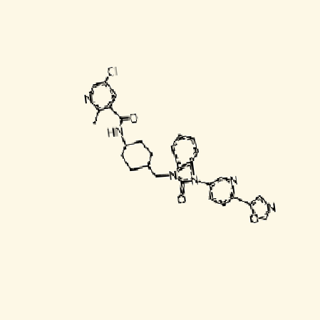 Cc1ncc(Cl)cc1C(=O)NC1CCC(Cn2c(=O)n(-c3ccc(-c4cnco4)nc3)c3ccccc32)CC1